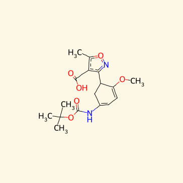 COC1=CC=C(NC(=O)OC(C)(C)C)CC1c1noc(C)c1C(=O)O